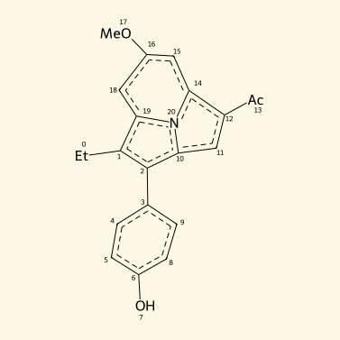 CCc1c(-c2ccc(O)cc2)c2cc(C(C)=O)c3cc(OC)cc1n32